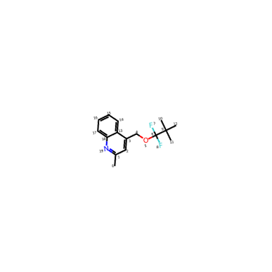 Cc1cc(COC(F)(F)C(C)(C)C)c2ccccc2n1